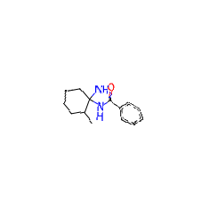 CC1CCCCC1(N)NC(=O)c1ccccc1